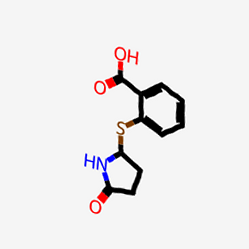 O=C1CCC(Sc2ccccc2C(=O)O)N1